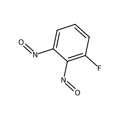 O=Nc1cccc(F)c1N=O